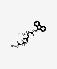 CC(C)(C)OC(=O)Nc1ncc(C[C@H](NC(=O)OCC2c3ccccc3-c3ccccc32)C(=O)O)cn1